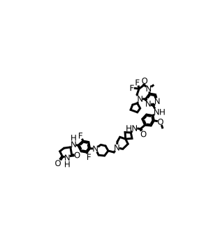 COc1cc(C(=O)NC2CC3(CCN(CC4CCN(c5cc(F)c(NC6CCC(=O)NC6=O)cc5F)CC4)CC3)C2)ccc1Nc1ncc2c(n1)N(C1CCCC1)CC(F)(F)C(=O)N2C